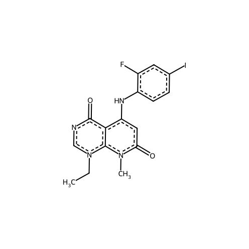 CCn1cnc(=O)c2c(Nc3ccc(I)cc3F)cc(=O)n(C)c21